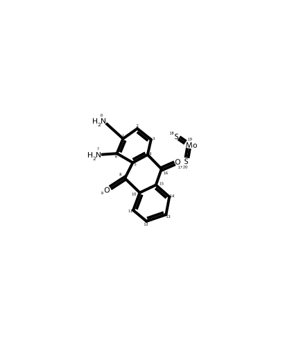 Nc1ccc2c(c1N)C(=O)c1ccccc1C2=O.[S]=[Mo]=[S]